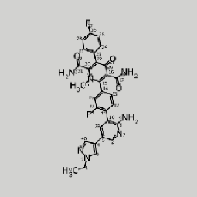 CCn1cc(-c2cnc(N)c(-c3ccc(-c4c(C(N)=O)c(=O)c(-c5ccc(F)cc5)c(C(N)=O)n4C)cc3F)c2)cn1